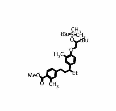 CCC(CCc1ccc(C(=O)OC)c(C)c1)c1ccc(OCC(O[Si](C)(C)C(C)(C)C)C(C)(C)C)c(C)c1